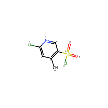 N#Cc1cc(Cl)ncc1S(=O)(=O)Cl